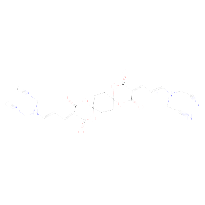 [C-]#[N+]CN(/C=C/C=C1C(=O)OC2(CCC3(CC2)OC(=O)C(=C/C=C/N(CC#N)CC#N)C(=O)O3)OC1=O)C[N+]#[C-]